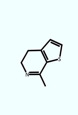 CC1=NCCc2ccsc21